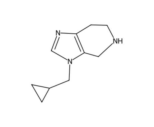 c1nc2c(n1CC1CC1)CNCC2